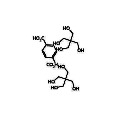 O=C(O)c1ccc(C(=O)O)cc1.OCC(CO)(CO)CO.OCC(CO)(CO)CO